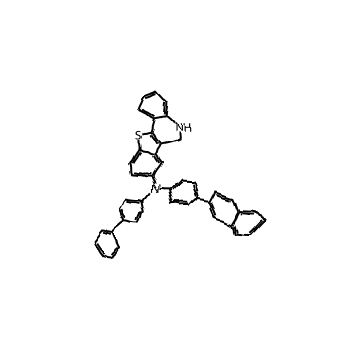 c1ccc(-c2ccc(N(c3ccc(-c4ccc5ccccc5c4)cc3)c3ccc4sc5c(c4c3)CNc3ccccc3-5)cc2)cc1